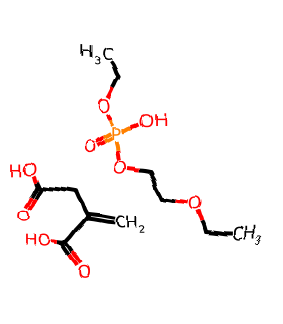 C=C(CC(=O)O)C(=O)O.CCOCCOP(=O)(O)OCC